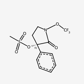 CS(=O)(=O)O[C@]1(c2ccccc2)CCN(OC(F)(F)F)C1=O